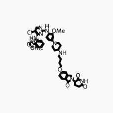 COc1cc(N2CCC(NCCCCOc3ccc4c(c3)CN(C3CCC(=O)NC3=O)C4=O)CC2)ccc1Nc1ncc(Cl)c(Nc2ccccc2P(=O)(OC)OC)n1